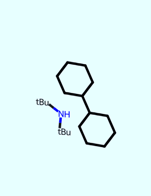 C1CCC(C2CCCCC2)CC1.CC(C)(C)NC(C)(C)C